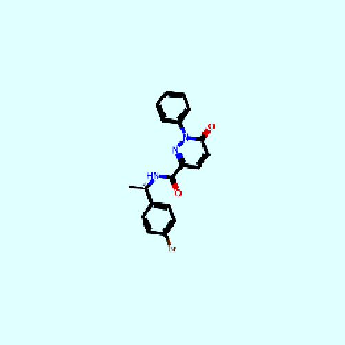 C[C@@H](NC(=O)c1ccc(=O)n(-c2ccccc2)n1)c1ccc(Br)cc1